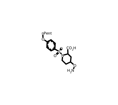 CCCCCOc1ccc(S(=O)(=O)N2CCC(ON)CC2C(=O)O)cc1